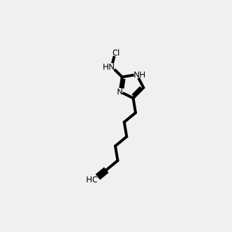 C#CCCCCCc1c[nH]c(NCl)n1